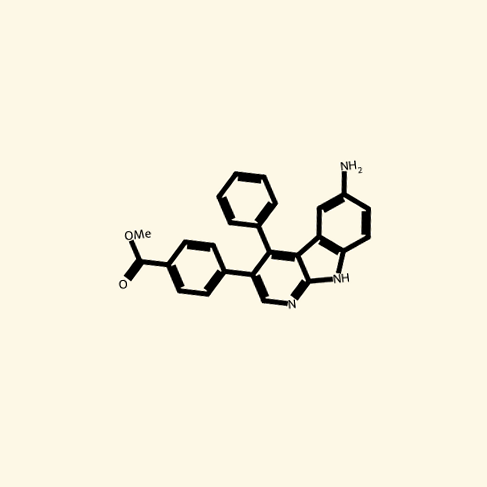 COC(=O)c1ccc(-c2cnc3[nH]c4ccc(N)cc4c3c2-c2ccccc2)cc1